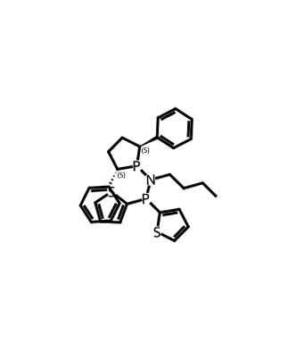 CCCCN(P(c1cccs1)c1cccs1)P1[C@H](c2ccccc2)CC[C@H]1c1ccccc1